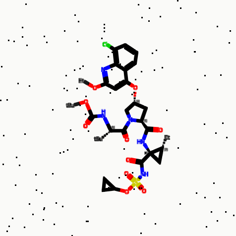 CCOc1cc(O[C@@H]2C[C@@H](C(=O)N[C@]3(C(=O)NS(=O)(=O)OC4CC4)C[C@H]3CC)N(C(=O)[C@@H](NC(=O)OC(C)(C)C)C(C)(C)C)C2)c2cccc(Cl)c2n1